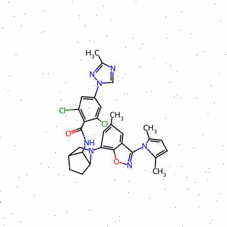 Cc1cc(N2CC3CCC2C3NC(=O)c2c(Cl)cc(-n3cnc(C)n3)cc2Cl)c2onc(-n3c(C)ccc3C)c2c1